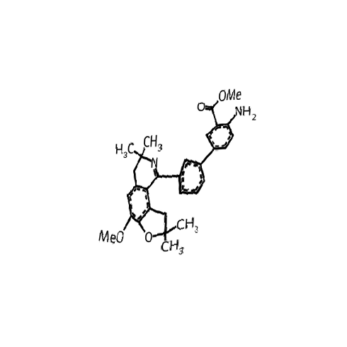 COC(=O)c1cc(-c2cccc(C3=NC(C)(C)Cc4cc(OC)c5c(c43)CC(C)(C)O5)c2)ccc1N